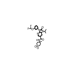 CC(C)n1c(=O)n(-c2cccc(OC(F)F)c2)c2ncc(C(=O)NC3(C)CCS(=O)(=O)CC3)cc21